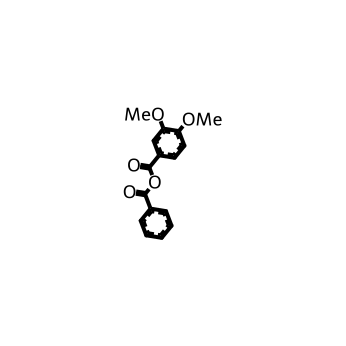 COc1ccc(C(=O)OC(=O)c2ccccc2)cc1OC